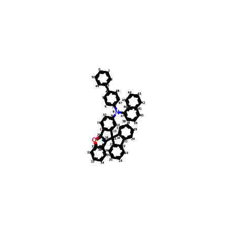 c1ccc(-c2ccc(N(c3ccc4c(c3)C3(c5ccccc5-c5ccccc53)c3c-4oc4ccccc34)c3cccc4ccccc34)cc2)cc1